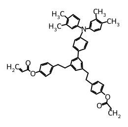 C=CC(=O)Oc1ccc(CCc2cc(CCc3ccc(OC(=O)C=C)cc3)cc(-c3ccc(N(c4ccc(C)c(C)c4)c4ccc(C)c(C)c4)cc3)c2)cc1